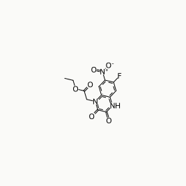 CCOC(=O)Cn1c(=O)c(=O)[nH]c2cc(F)c([N+](=O)[O-])cc21